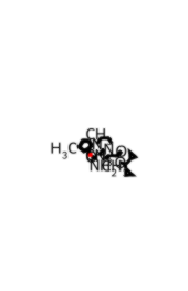 CC1=C(C(=O)OC(C2CC2)C2CC2)N2CCCN(c3c(C)cc(C)cc3C)C2N1C(N)=O